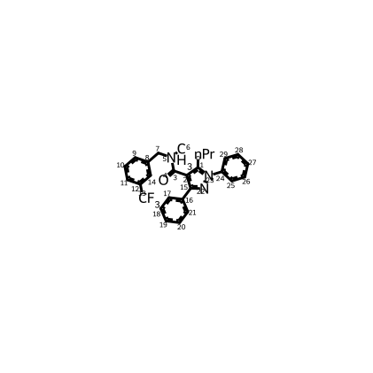 CCCc1c(C(=O)N(C)Cc2cccc(C(F)(F)F)c2)c(-c2ccccc2)nn1-c1ccccc1